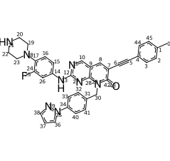 Cc1ccc(C#Cc2cc3cnc(Nc4ccc(N5CCNCC5)c(F)c4)nc3n(Cc3ccc(-n4cccn4)cc3)c2=O)cc1